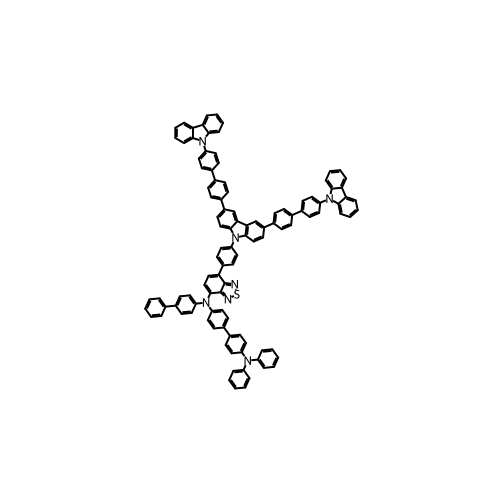 c1ccc(-c2ccc(N(c3ccc(-c4ccc(N(c5ccccc5)c5ccccc5)cc4)cc3)c3ccc(-c4ccc(-n5c6ccc(-c7ccc(-c8ccc(-n9c%10ccccc%10c%10ccccc%109)cc8)cc7)cc6c6cc(-c7ccc(-c8ccc(-n9c%10ccccc%10c%10ccccc%109)cc8)cc7)ccc65)cc4)c4nsnc34)cc2)cc1